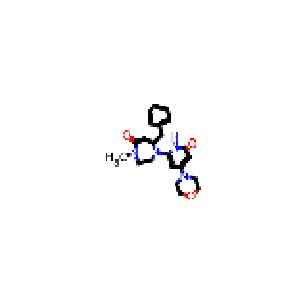 CN1CCN(c2cc(N3CCOCC3)cc(=O)[nH]2)C(Cc2ccccc2)CC1=O